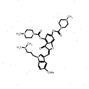 COc1ccc2c(c1)c(C=C1Oc3cc(OC(=O)N4CCN(C)CC4)cc(OC(=O)N4CCN(C)CC4)c3C1=O)cn2CCCN(C)C